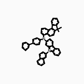 CC1(C)c2ccccc2-c2c1ccc1c(N(c3ccc(-c4ccccc4)cc3)c3ccc4c5ccccc5n(-c5ccc6ccccc6c5)c4c3)cccc21